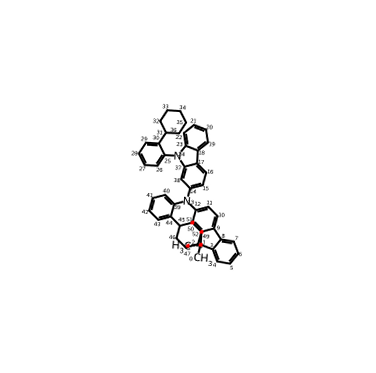 CC1(C)c2ccccc2-c2ccc(N(c3ccc4c5ccccc5n(-c5ccccc5C5CCCCC5)c4c3)c3ccccc3C3CCCCC3)cc21